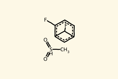 C[SH](=O)=O.Fc1ccc2cc1C2F